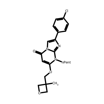 CCCCCn1c(OCC2(C)COC2)cc(=O)n2cc(-c3ccc(Cl)cc3)nc12